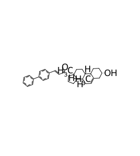 C[C@]12CC[C@H]3[C@@H](CC=C4C[C@@H](O)CC[C@@]43C)[C@@H]1CC[C@@H]2C(=O)/C=C/c1ccc(-c2ccccc2)cc1